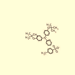 CC(C)(C)Oc1ccc([S+](c2ccc(OC(C)(C)C)cc2)c2ccccn2)cc1.Cc1ccc(S(=O)(=O)[O-])cc1